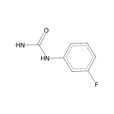 [NH]C(=O)Nc1cccc(F)c1